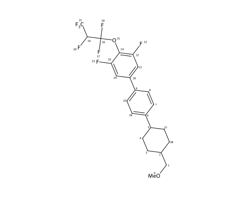 COCC1CCC(c2ccc(-c3cc(F)c(OC(F)(F)C(F)C(F)(F)F)c(F)c3)cc2)CC1